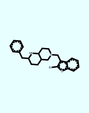 CCc1sc2ccccc2c1CN1CCC2NC(Cc3ccccc3)CCC2C1